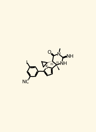 CN1C(=N)N[C@](C)(c2ccc(-c3cc(I)cc(C#N)c3)s2)[C@H](C2CC2)C1=O